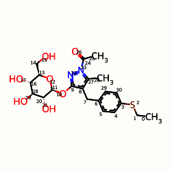 CCSc1ccc(Cc2c(O[C@@H]3O[C@H](CO)[C@@H](O)[C@H](O)[C@H]3O)nn(C(C)=O)c2C)cc1